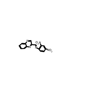 O=[N+]([O-])c1ccc(N=Cc2cnc3ccccc3n2)c([N+](=O)[O-])c1